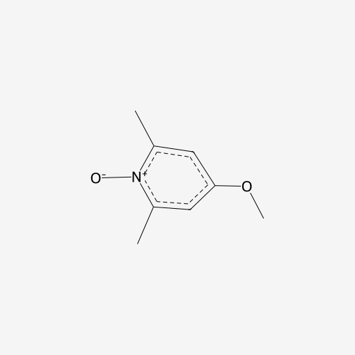 COc1cc(C)[n+]([O-])c(C)c1